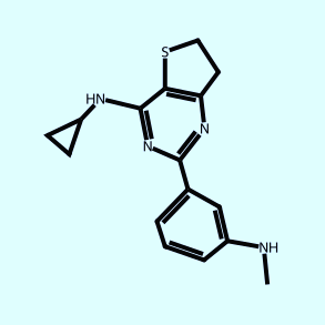 CNc1cccc(-c2nc3c(c(NC4CC4)n2)SCC3)c1